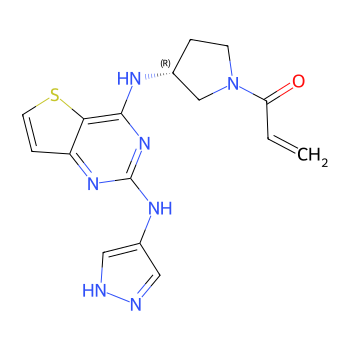 C=CC(=O)N1CC[C@@H](Nc2nc(Nc3cn[nH]c3)nc3ccsc23)C1